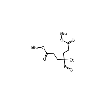 CCCCOC(=O)CCC(CC)(CCC(=O)OCCCC)P=O